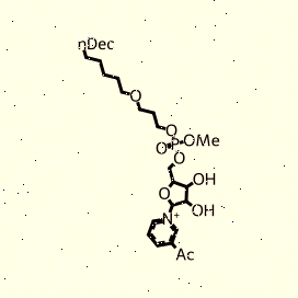 CCCCCCCCCCCCCCCOCCCOP(=O)(OC)OCC1OC([n+]2cccc(C(C)=O)c2)C(O)C1O